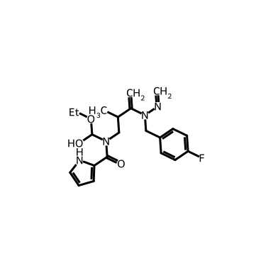 C=NN(Cc1ccc(F)cc1)C(=C)C(C)CN(C(=O)c1ccc[nH]1)C(O)OCC